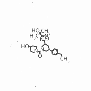 CCc1ccc(C2CC(c3nc(C(C)(C)O)no3)CN(C(=O)N3CCC(O)CC3)C2)cc1